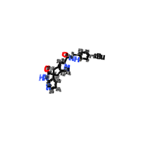 CC(C)(C)c1ccc(CNC(=O)c2cc3c(cn2)CC2(C3)C(=O)Nc3ncccc32)cc1